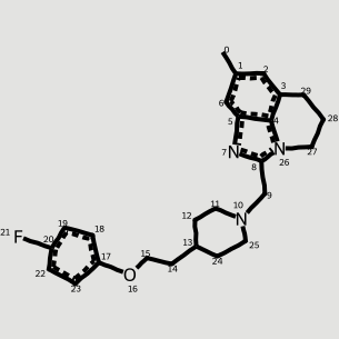 Cc1cc2c3c(c1)nc(CN1CCC(CCOc4ccc(F)cc4)CC1)n3CCC2